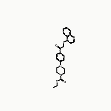 CCOC(=O)N1CCN(c2ccc(C(=O)CSc3ccnc4ccccc34)cc2)CC1